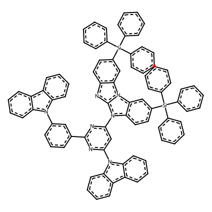 c1ccc([Si](c2ccccc2)(c2ccccc2)c2ccc3nc4n(-c5cc(-n6c7ccccc7c7ccccc76)nc(-c6cccc(-n7c8ccccc8c8ccccc87)c6)n5)c5ccc([Si](c6ccccc6)(c6ccccc6)c6ccccc6)cc5n4c3c2)cc1